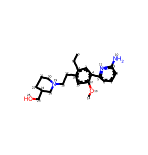 CCc1cc(-c2cccc(N)n2)c(OC)cc1CCN1CCCC(CO)C1